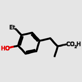 CCc1cc(CC(C)C(=O)O)ccc1O